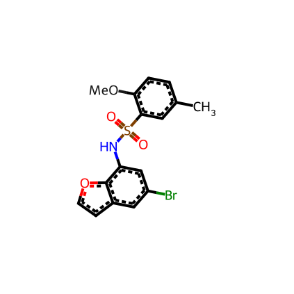 COc1ccc(C)cc1S(=O)(=O)Nc1cc(Br)cc2ccoc12